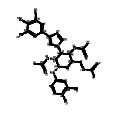 CC(=O)OC[C@H]1O[C@H](Sc2ccc(F)c(Br)c2)[C@H](OC(C)=O)[C@@H](n2cc(-c3cc(F)c(F)c(F)c3)nn2)[C@H]1OC(C)=O